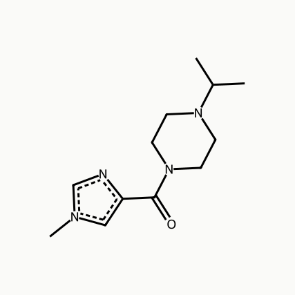 CC(C)N1CCN(C(=O)c2cn(C)cn2)CC1